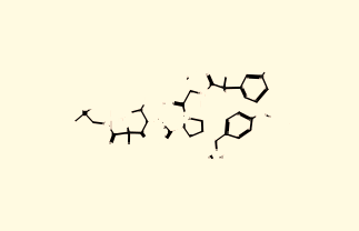 COc1ccc(C([C@@H]2C[C@@H](C(=O)N[C@H](C(=O)C(F)(F)C(=O)NCC(F)(F)F)C(C)C)N(C(=O)[C@H](CO)NC(=O)C(F)(F)c3cccc(Cl)c3)C2)[SH](=O)=O)cc1